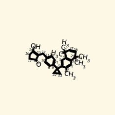 Cc1cc2c(cc1C1(c3ccc(CC4=C(O)CCC4=O)cc3)CC1)C(C)(C)C=CC2(C)C